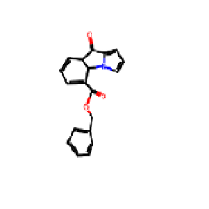 O=C(OCc1ccccc1)C1=CC=CC2C(=O)c3cccn3C12